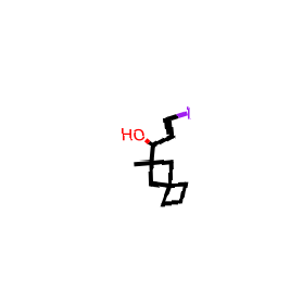 CC1(C(O)/C=C/I)CC2(CCC2)C1